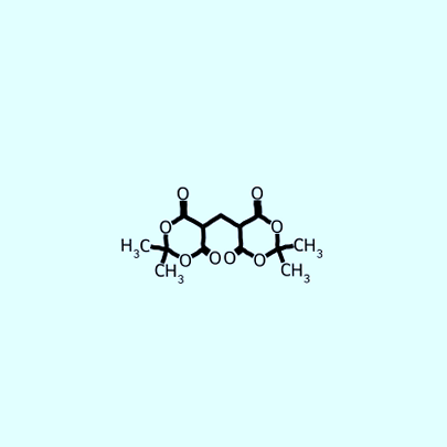 CC1(C)OC(=O)C(CC2C(=O)OC(C)(C)OC2=O)C(=O)O1